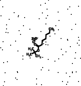 CCCCCCC(=O)OC(C)(C)C.[O-][O-].[Zn+2]